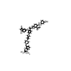 CC1(C)COc2c(CN3CCN(C4CC5(C4)CN(c4ccc(C(=O)NSC6C=C([N+](=O)[O-])C(NC[C@H]7CC[C@H](O)CC7)CC6)c(Oc6cnc7[nH]cc(F)c7c6)c4)C5)CC3)ccnc2O1